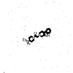 CCN(CC)C1CCN(C(=O)CN2CCc3c([nH]c4ccccc34)C2)CC1